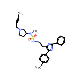 CC#CCN1CCC(N(C)S(=O)(=O)NCCc2nc(-c3ccccc3)[nH]c2-c2ccc(OC)cc2)C1